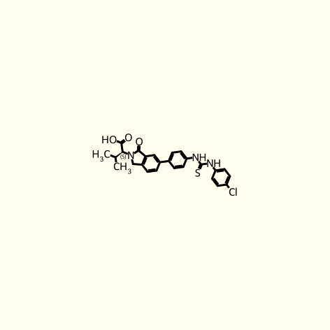 CC(C)[C@@H](C(=O)O)N1Cc2ccc(-c3ccc(NC(=S)Nc4ccc(Cl)cc4)cc3)cc2C1=O